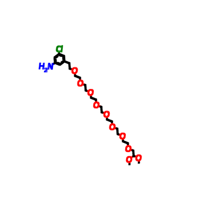 COC(COCCOCCOCCOCCOCCOCCOCCOCCc1cc(N)cc(Cl)c1)OC